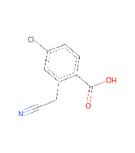 N#CCc1cc(Cl)ccc1C(=O)O